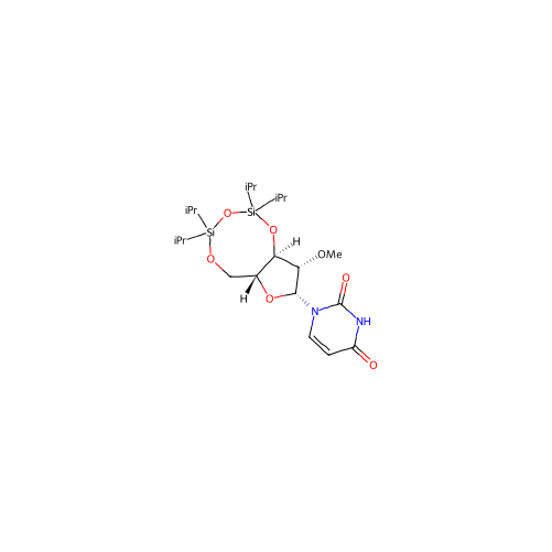 CO[C@H]1[C@@H]2O[Si](C(C)C)(C(C)C)O[Si](C(C)C)(C(C)C)OC[C@H]2O[C@H]1n1ccc(=O)[nH]c1=O